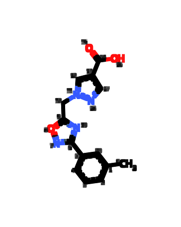 Cc1cccc(-c2noc(Cn3cc(C(=O)O)cn3)n2)c1